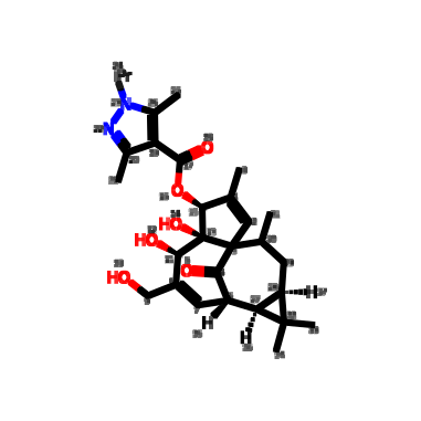 CC1=CC23C(=O)[C@@H](C=C(CO)[C@@H](O)[C@]2(O)[C@H]1OC(=O)c1c(C)nn(C(C)C)c1C)[C@H]1[C@@H](CC3C)C1(C)C